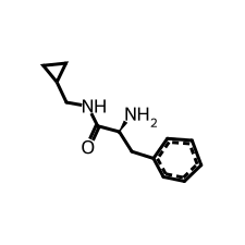 N[C@@H](Cc1ccccc1)C(=O)NCC1CC1